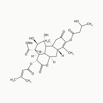 COC(=O)[C@@]12OC[C@]34C([C@@H](O)[C@@H]1O)[C@@]1(C)CC(=O)C(OC(=O)CC(C)O)=C(C)[C@@H]1C[C@H]3OC(=O)[C@H](OC(=O)C=C(C)C)[C@@H]24